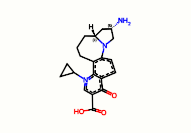 N[C@H]1C[C@H]2CCCc3c(ccc4c(=O)c(C(=O)O)cn(C5CC5)c34)N2C1